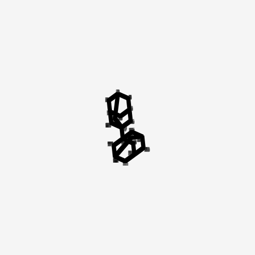 C1[C]2CC3CC1CC(C14CC5CC(CC(C5)C1)C4)(C2)C3